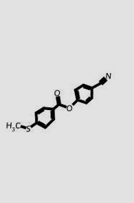 CSc1ccc(C(=O)Oc2ccc(C#N)cc2)cc1